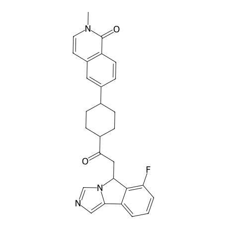 Cn1ccc2cc(C3CCC(C(=O)CC4c5c(F)cccc5-c5cncn54)CC3)ccc2c1=O